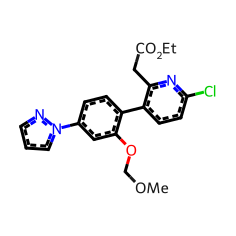 CCOC(=O)Cc1nc(Cl)ccc1-c1ccc(-n2cccn2)cc1OCOC